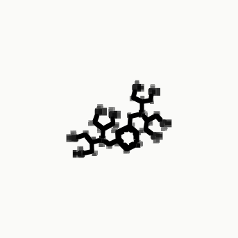 OCC(CO)N(Cc1cncc(CN(C(CO)CO)C(CO)CO)c1)C(CO)CO